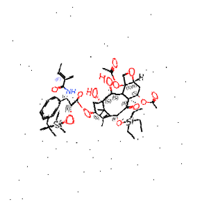 C/C=C(\C)C(=O)N[C@@H](c1ccccc1)[C@@H](O[Si](C)(C)C(C)(C)C)C(=O)O[C@H]1C[C@@]2(O)[C@@H](O)C3[C@](C)(C(=O)[C@H](O[Si](CC)(CC)CC)C(=C1C)C2(C)C)[C@@H](OC(C)=O)C[C@H]1OC[C@@]31OC(C)=O